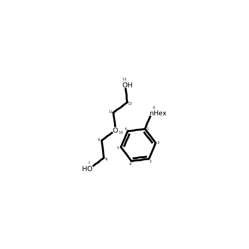 CCCCCCc1ccccc1.OCCOCCO